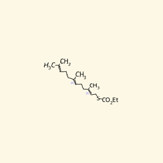 CCOC(=O)SC/C=C(\C)CC/C=C(\C)CCC=C(C)C